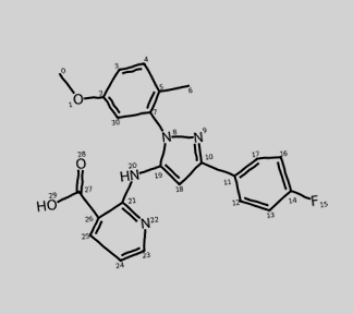 COc1ccc(C)c(-n2nc(-c3ccc(F)cc3)cc2Nc2ncccc2C(=O)O)c1